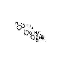 Cc1cnc2c(Cl)cccc2c1-c1cccc(Oc2cccc(S(=O)(=O)NC(C)C)c2)c1